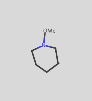 CON1C[CH]CCC1